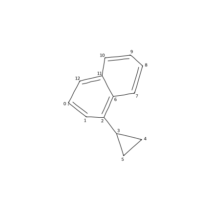 [c]1cc(C2CC2)c2ccccc2c1